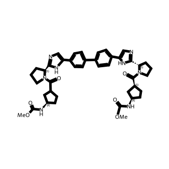 COC(=O)N[C@@H]1CCC(C(=O)N2CCC[C@H]2c2ncc(-c3ccc(-c4ccc(-c5cnc([C@@H]6CCCN6C(=O)[C@H]6CC[C@@H](NC(=O)OC)C6)[nH]5)cc4)cc3)[nH]2)C1